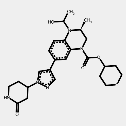 CC(O)N1c2ccc(-c3cnn(C4CCNC(=O)C4)c3)cc2N(C(=O)OC2CCOCC2)C[C@@H]1C